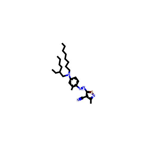 CCCCCCCCN(CC(CC)CCCC)c1ccc(/N=N/c2snc(C)c2C#N)c(C)c1